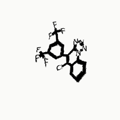 FC(F)(F)c1cc(-c2c(Cl)c3ccccc3n3nnnc23)cc(C(F)(F)F)c1